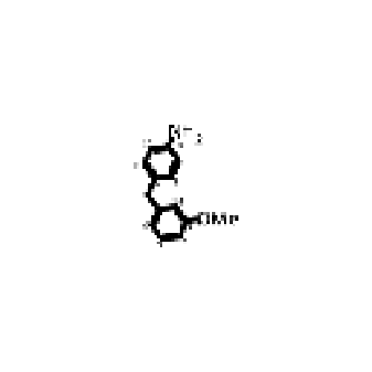 COc1cccc(Cc2ccc(N)cc2)c1